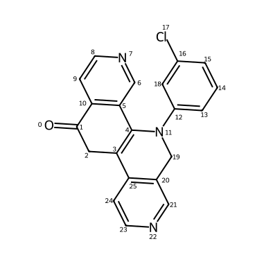 O=C1CC2=C(c3cnccc31)N(c1cccc(Cl)c1)Cc1cnccc12